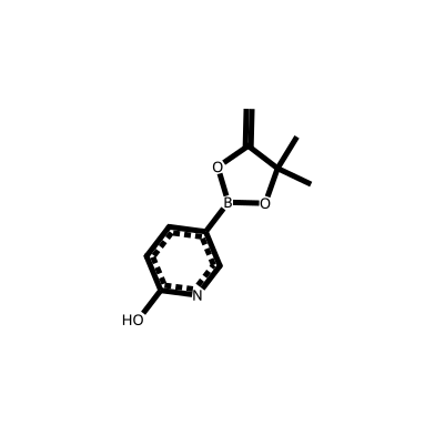 C=C1OB(c2ccc(O)nc2)OC1(C)C